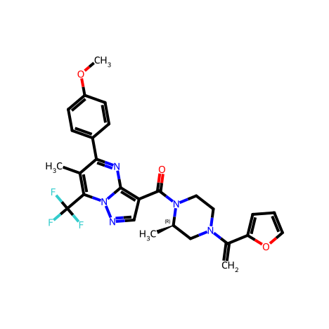 C=C(c1ccco1)N1CCN(C(=O)c2cnn3c(C(F)(F)F)c(C)c(-c4ccc(OC)cc4)nc23)[C@H](C)C1